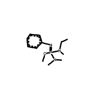 CCN(C)P(=Nc1ccccc1)(OC)N(C)C